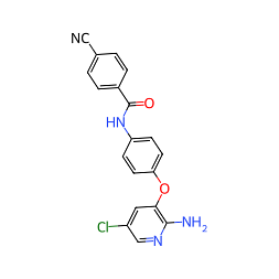 N#Cc1ccc(C(=O)Nc2ccc(Oc3cc(Cl)cnc3N)cc2)cc1